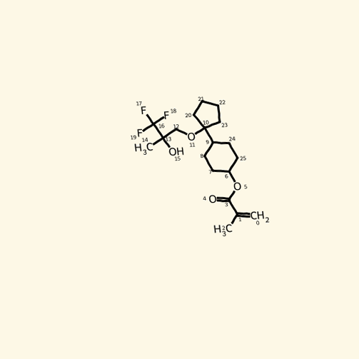 C=C(C)C(=O)OC1CCC(C2(OCC(C)(O)C(F)(F)F)CCCC2)CC1